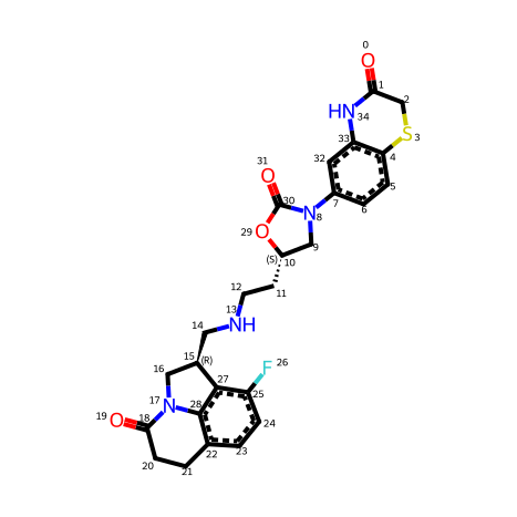 O=C1CSc2ccc(N3C[C@H](CCNC[C@@H]4CN5C(=O)CCc6ccc(F)c4c65)OC3=O)cc2N1